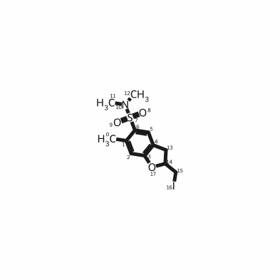 Cc1cc2c(cc1S(=O)(=O)N(C)C)CC(CI)O2